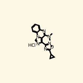 CN(C)c1nc2ccccc2n2cnc(-c3noc(C4CC4)n3)c12.Cl